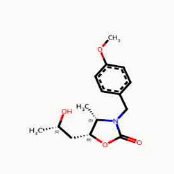 COc1ccc(CN2C(=O)O[C@H](C[C@H](C)O)[C@@H]2C)cc1